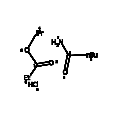 CCC(=O)OC(C)C.CCCCC(N)=O.Cl